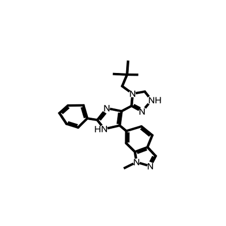 Cn1ncc2ccc(-c3[nH]c(-c4ccccc4)nc3C3=NNCN3CC(C)(C)C)cc21